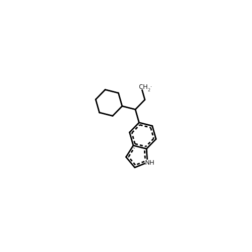 [CH2]CC(c1ccc2[nH]ccc2c1)C1CCCCC1